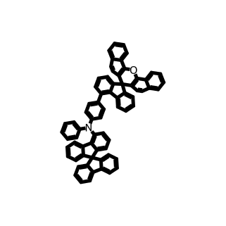 c1ccc(N(c2ccc(-c3cccc4c3-c3ccccc3C43c4ccc5ccccc5c4Oc4c3ccc3ccccc43)cc2)c2cccc3c2-c2ccccc2C32c3ccccc3-c3ccccc32)cc1